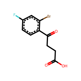 O=C(O)CCC(=O)c1ccc(F)cc1Br